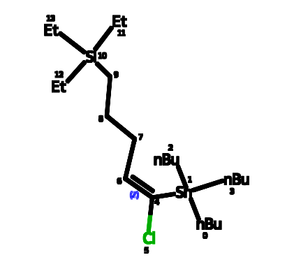 CCC[CH2][Sn]([CH2]CCC)([CH2]CCC)/[C](Cl)=C\CCC[Si](CC)(CC)CC